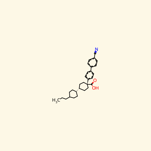 CCCC1CCC([C@H]2CC[C@](C(=O)O)(c3ccc(-c4ccc(C#N)cc4)cc3)CC2)CC1